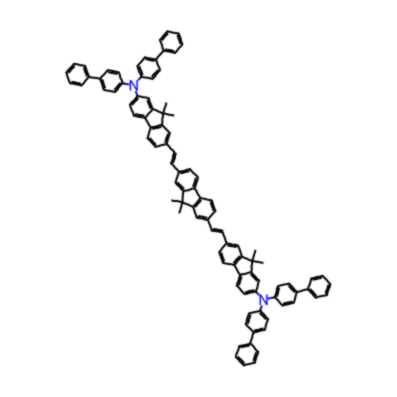 CC1(C)c2cc(/C=C/c3ccc4c(c3)C(C)(C)c3cc(N(c5ccc(-c6ccccc6)cc5)c5ccc(-c6ccccc6)cc5)ccc3-4)ccc2-c2ccc(/C=C/c3ccc4c(c3)C(C)(C)c3cc(N(c5ccc(-c6ccccc6)cc5)c5ccc(-c6ccccc6)cc5)ccc3-4)cc21